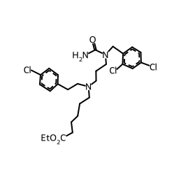 CCOC(=O)CCCCCN(CCCN(Cc1ccc(Cl)cc1Cl)C(N)=O)CCc1ccc(Cl)cc1